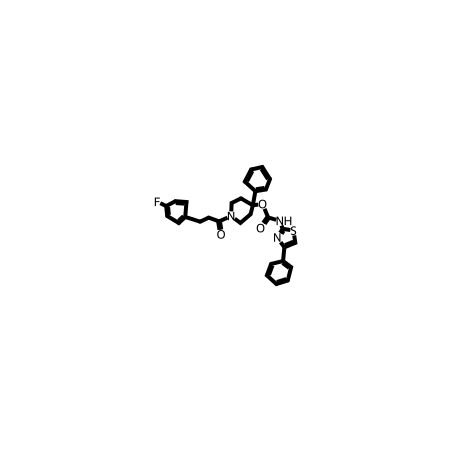 O=C(Nc1nc(-c2ccccc2)cs1)OC1(c2ccccc2)CCN(C(=O)CCc2ccc(F)cc2)CC1